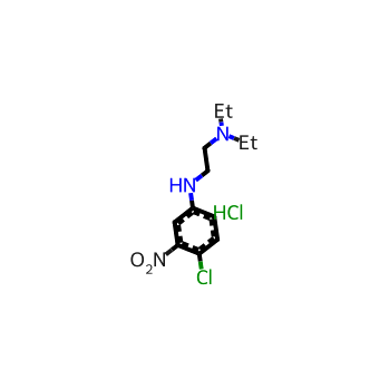 CCN(CC)CCNc1ccc(Cl)c([N+](=O)[O-])c1.Cl